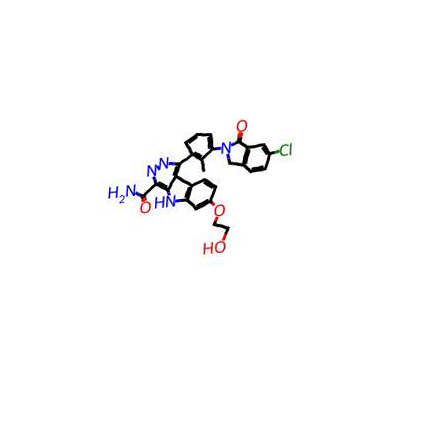 Cc1c(-c2nnc(C(N)=O)c3[nH]c4cc(OCCO)ccc4c23)cccc1N1Cc2ccc(Cl)cc2C1=O